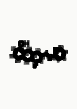 CN1CC(CSc2ccccn2)CC2Cc3c(O)cccc3CC21